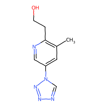 Cc1cc(-n2cnnn2)cnc1CCO